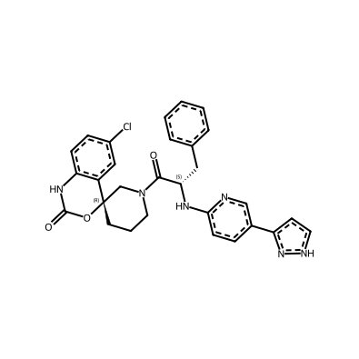 O=C1Nc2ccc(Cl)cc2[C@@]2(CCCN(C(=O)[C@H](Cc3ccccc3)Nc3ccc(-c4cc[nH]n4)cn3)C2)O1